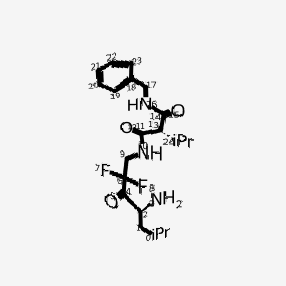 CC(C)C[C@H](N)C(=O)C(F)(F)CNC(=O)[C@H](C(=O)NCc1ccccc1)C(C)C